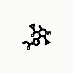 C=CC(=O)N1CC=C(C2C(C3[CH]C3)NCC(C)N2C(=O)C2CC2)C1